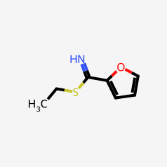 CCSC(=N)c1ccco1